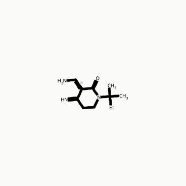 CCC(C)(C)N1CCC(=N)/C(=C\N)C1=O